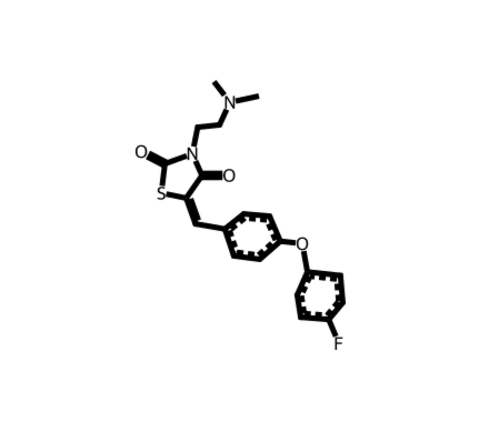 CN(C)CCN1C(=O)SC(=Cc2ccc(Oc3ccc(F)cc3)cc2)C1=O